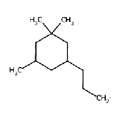 [CH2]CCC1CC(C)CC(C)(C)C1